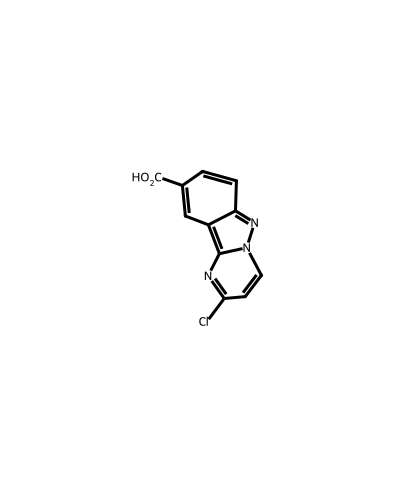 O=C(O)c1ccc2nn3ccc(Cl)nc3c2c1